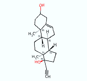 C#C[C@@]1(O)CC[C@H]2[C@@H]3CC=C4CC(O)CC[C@]4(C)[C@H]3CC[C@@]21C